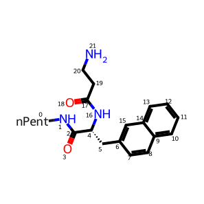 CCCCCNC(=O)[C@@H](Cc1ccc2ccccc2c1)NC(=O)CCN